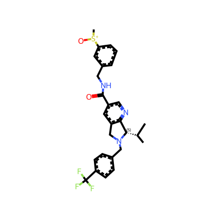 CC(C)[C@H]1c2ncc(C(=O)NCc3cccc([S+](C)[O-])c3)cc2CN1Cc1ccc(C(F)(F)F)cc1